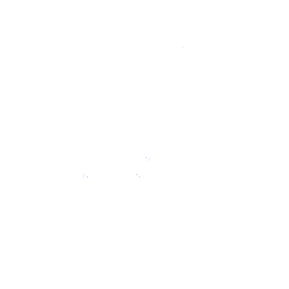 COC(=O)c1ccc(-c2nn(C(=O)c3c(Cl)cccc3C3CC3)c3c2CCNC3)c(F)c1.Cl